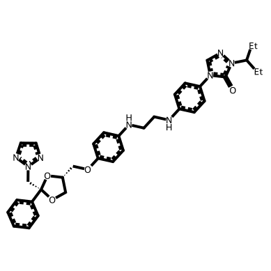 CCC(CC)n1ncn(-c2ccc(NCCNc3ccc(OC[C@@H]4CO[C@@](Cn5nccn5)(c5ccccc5)O4)cc3)cc2)c1=O